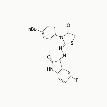 CCCCc1ccc(N2C(=O)CSC2=NN=C2C(=O)Nc3ccc(F)cc32)cc1